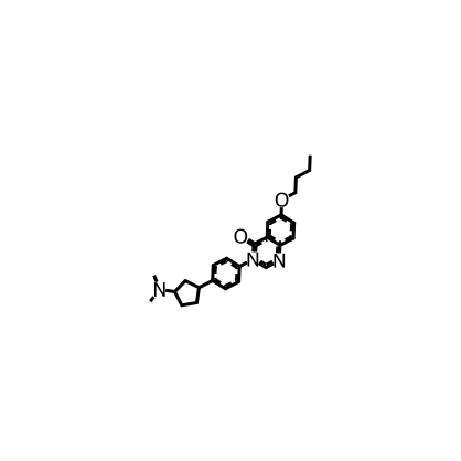 CCCCOc1ccc2ncn(-c3ccc(C4CCC(N(C)C)C4)cc3)c(=O)c2c1